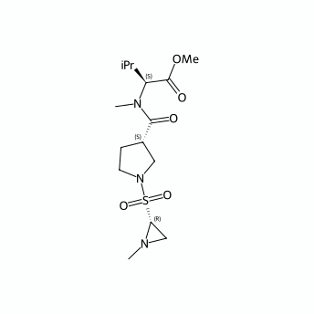 COC(=O)[C@H](C(C)C)N(C)C(=O)[C@H]1CCN(S(=O)(=O)[C@@H]2CN2C)C1